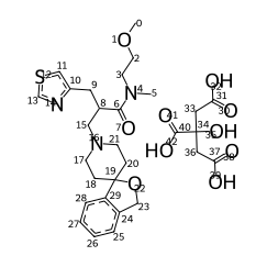 COCCN(C)C(=O)C(Cc1cscn1)CN1CCC2(CC1)OCc1ccccc12.O=C(O)CC(O)(CC(=O)O)C(=O)O